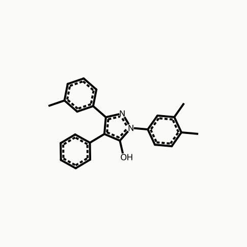 Cc1cccc(-c2nn(-c3ccc(C)c(C)c3)c(O)c2-c2ccccc2)c1